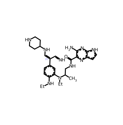 CCNc1ccc(/C(C=N)=C/NC2CCNCC2)cc1N(CC)C(C)CNC(=O)c1nc2cc[nH]c2nc1N